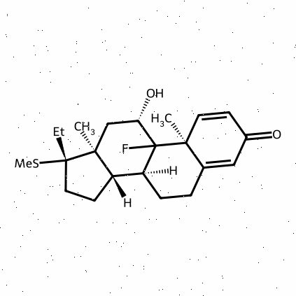 CC[C@]1(SC)CC[C@H]2[C@@H]3CCC4=CC(=O)C=C[C@]4(C)C3(F)[C@@H](O)C[C@@]21C